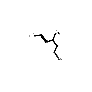 CC=CC(C)CCCCC